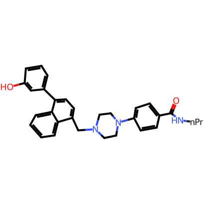 CCCNC(=O)c1ccc(N2CCN(Cc3ccc(-c4cccc(O)c4)c4ccccc34)CC2)cc1